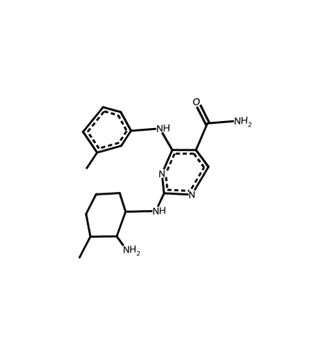 Cc1cccc(Nc2nc(NC3CCCC(C)C3N)ncc2C(N)=O)c1